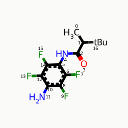 CC(C(=O)Nc1c(F)c(F)c(N)c(F)c1F)C(C)(C)C